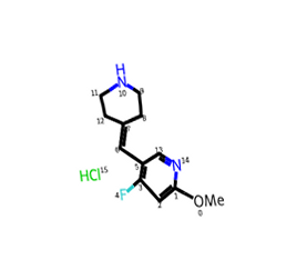 COc1cc(F)c(C=C2CCNCC2)cn1.Cl